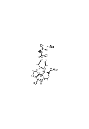 COc1ccc2[nH]c(=O)c3sccc3c2c1-c1ccc(CC(Cl)NC(=O)OC(C)(C)C)cc1